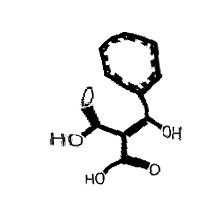 O=C(O)C(C(=O)O)=C(O)c1ccccc1